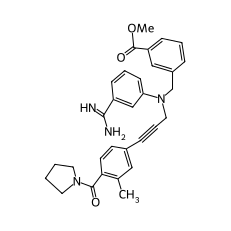 COC(=O)c1cccc(CN(CC#Cc2ccc(C(=O)N3CCCC3)c(C)c2)c2cccc(C(=N)N)c2)c1